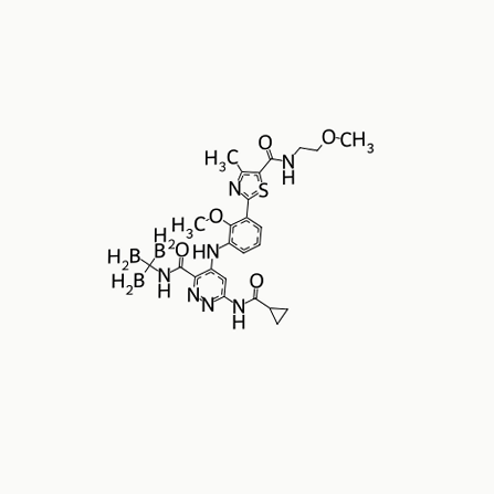 BC(B)(B)NC(=O)c1nnc(NC(=O)C2CC2)cc1Nc1cccc(-c2nc(C)c(C(=O)NCCOC)s2)c1OC